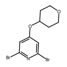 Brc1cc(OC2CCOCC2)cc(Br)n1